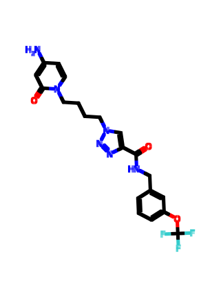 Nc1ccn(CCCCn2cc(C(=O)NCc3cccc(OC(F)(F)F)c3)nn2)c(=O)c1